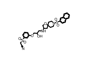 N#CCS(=O)(=O)c1cccc(OCC(O)CNC2COC3(CCN(S(=O)(=O)c4ccc5ccccc5c4)CC3)C2)c1